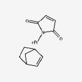 C1=CC2CCC1C2.[CH2]CCN1C(=O)C=CC1=O